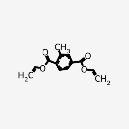 C=COC(=O)c1ccc(C(=O)OC=C)c(C)c1